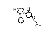 OCCOc1ccc(N2CCNC[C@H]2c2ccccc2)c(Cl)c1